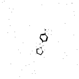 O=[N+]([O-])c1ccc(S(=O)(=O)N2CCCC2)cc1